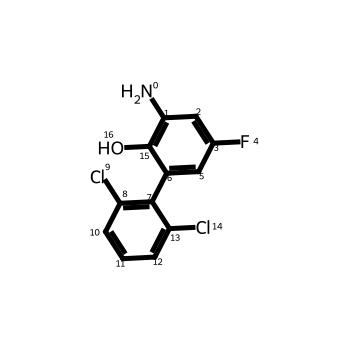 Nc1cc(F)cc(-c2c(Cl)cccc2Cl)c1O